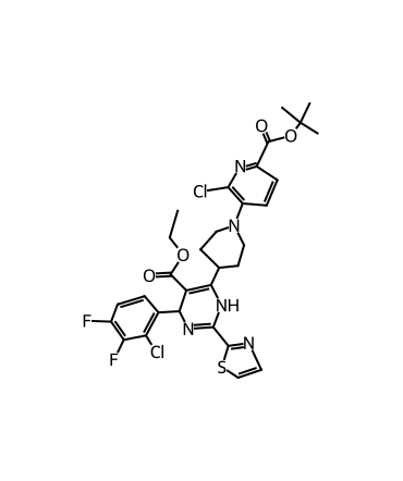 CCOC(=O)C1=C(C2CCN(c3ccc(C(=O)OC(C)(C)C)nc3Cl)CC2)NC(c2nccs2)=NC1c1ccc(F)c(F)c1Cl